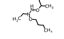 [CH2]CN(NOC(C)CC)OCCCC